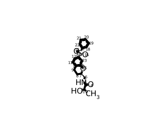 CC(O)C(=O)NC[C@H]1CCc2ccc(S(=O)(=O)c3ccccc3)cc2O1